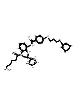 O=C(O)CCCCC(=O)N1CC(c2nnn[nH]2)Oc2c(NC(=O)c3ccc(OCCCCc4ccccc4)cc3)cccc21